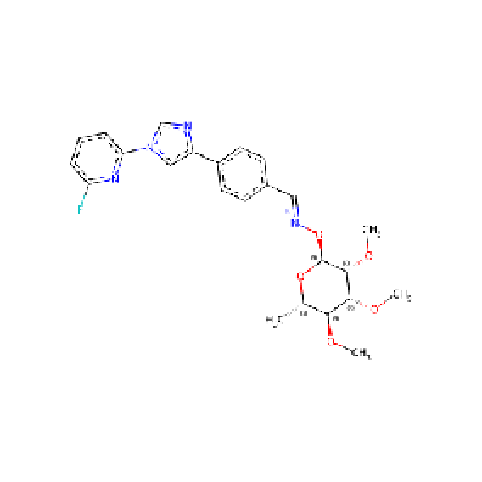 CO[C@@H]1[C@@H](OC)[C@H](C)O[C@@H](O/N=C/c2ccc(-c3cn(-c4cccc(F)n4)cn3)cc2)[C@@H]1OC